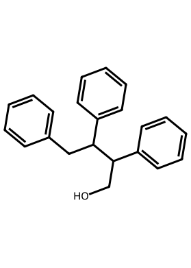 OCC(c1ccccc1)C(Cc1ccccc1)c1ccccc1